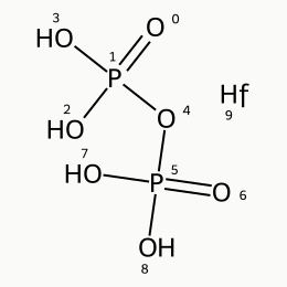 O=P(O)(O)OP(=O)(O)O.[Hf]